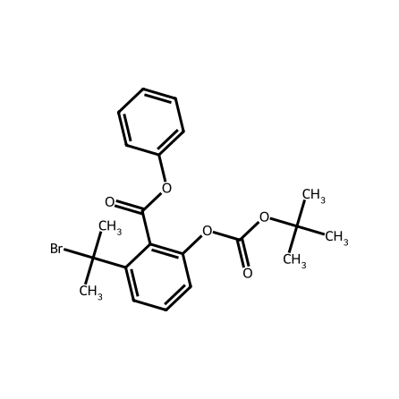 CC(C)(C)OC(=O)Oc1cccc(C(C)(C)Br)c1C(=O)Oc1ccccc1